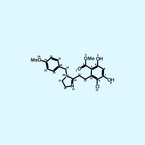 COC(=O)c1c(O)cc(O)c(Cl)c1CCC1=NCCN1Cc1ccc(OC)cc1